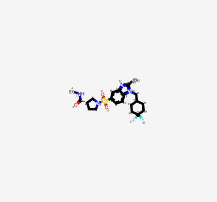 CCNC(=O)[C@H]1CCN(S(=O)(=O)c2ccc3c(c2)nc(C(C)(C)C)n3CC2CCC(F)(F)CC2)C1